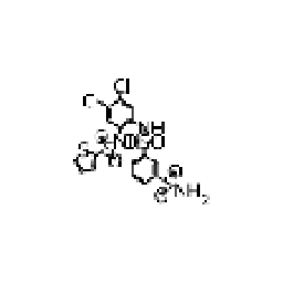 NS(=O)(=O)c1cccc(S(=O)(=O)Nc2cc(Cl)c(Cl)cc2NS(=O)(=O)c2cccs2)c1